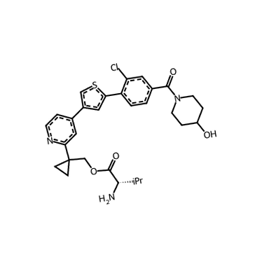 CC(C)[C@H](N)C(=O)OCC1(c2cc(-c3csc(-c4ccc(C(=O)N5CCC(O)CC5)cc4Cl)c3)ccn2)CC1